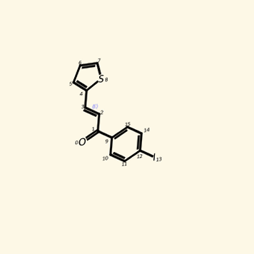 O=C(/C=C/c1cccs1)c1ccc(I)cc1